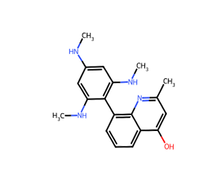 CNc1cc(NC)c(-c2cccc3c(O)cc(C)nc23)c(NC)c1